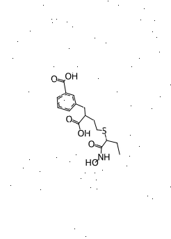 CCC(SCCC(Cc1cccc(C(=O)O)c1)C(=O)O)C(=O)NO